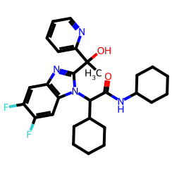 CC(O)(c1ccccn1)c1nc2cc(F)c(F)cc2n1C(C(=O)NC1CCCCC1)C1CCCCC1